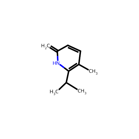 C=C1C=CC(C)=C(C(C)C)N1